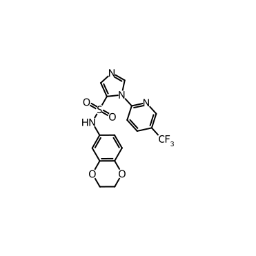 O=S(=O)(Nc1ccc2c(c1)OCCO2)c1cncn1-c1ccc(C(F)(F)F)cn1